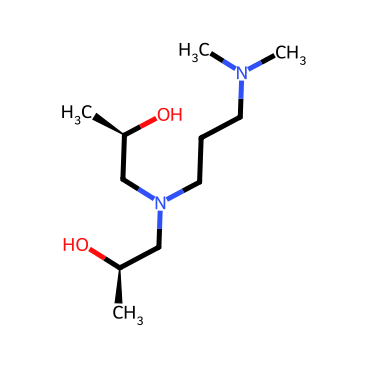 C[C@@H](O)CN(CCCN(C)C)C[C@@H](C)O